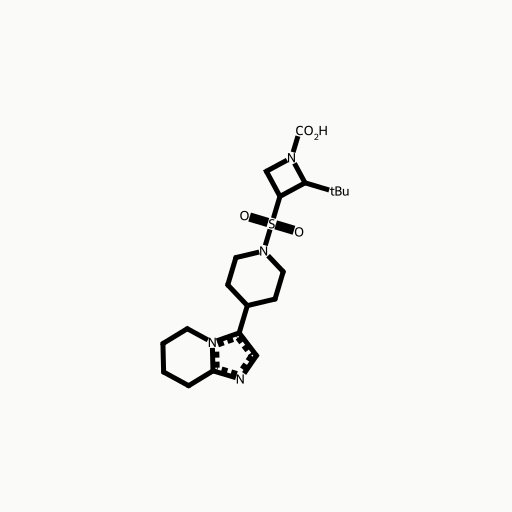 CC(C)(C)C1C(S(=O)(=O)N2CCC(c3cnc4n3CCCC4)CC2)CN1C(=O)O